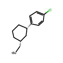 CC(C)(C)C[C@@H]1CCC[C@H](c2ccc(Cl)cc2)C1